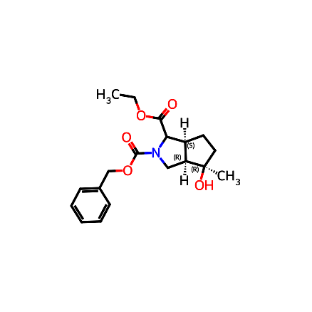 CCOC(=O)C1[C@H]2CC[C@@](C)(O)[C@H]2CN1C(=O)OCc1ccccc1